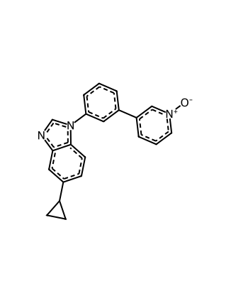 [O-][n+]1cccc(-c2cccc(-n3cnc4cc(C5CC5)ccc43)c2)c1